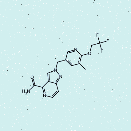 Cc1cc(Cn2cc3c(C(N)=O)nccc3n2)cnc1OCC(F)(F)F